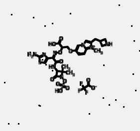 C[n+]1c(CC2CNC2)cn2cc(OCC(ON=C(C(=O)NC3C(=O)N(OS(=O)(=O)O)C3(C)C)c3csc(N)n3)C(=O)O)ccc21.O=C([O-])C(F)(F)F